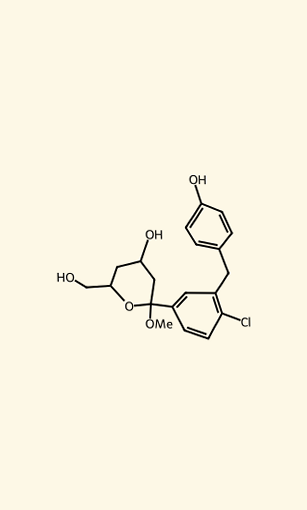 COC1(c2ccc(Cl)c(Cc3ccc(O)cc3)c2)CC(O)CC(CO)O1